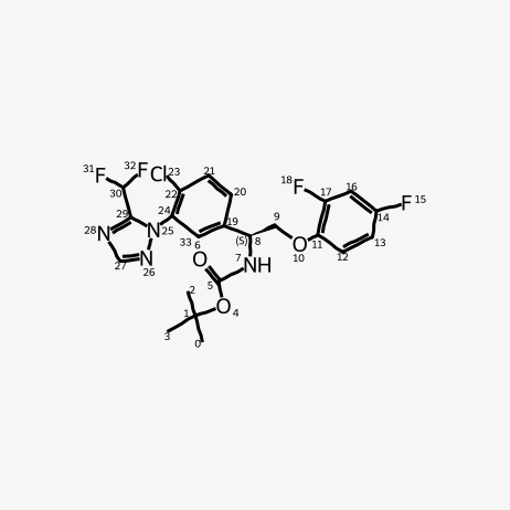 CC(C)(C)OC(=O)N[C@H](COc1ccc(F)cc1F)c1ccc(Cl)c(-n2ncnc2C(F)F)c1